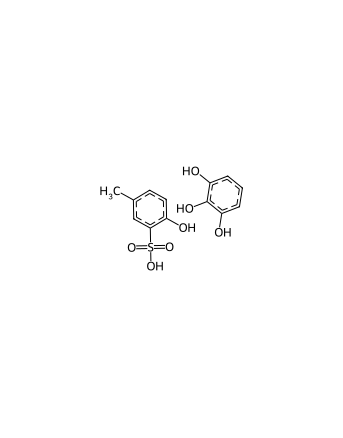 Cc1ccc(O)c(S(=O)(=O)O)c1.Oc1cccc(O)c1O